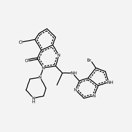 CC(Nc1ncnc2[nH]cc(Br)c12)c1nc2cccc(Cl)c2c(=O)n1N1CCNCC1